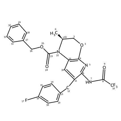 C[C@H]1COc2nc(NC(=O)C(F)(F)F)c(Cc3ccc(F)cc3)cc2N1C(=O)OCc1ccccc1